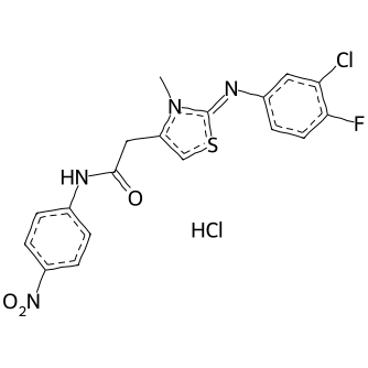 Cl.Cn1c(CC(=O)Nc2ccc([N+](=O)[O-])cc2)csc1=Nc1ccc(F)c(Cl)c1